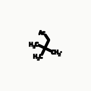 [CH2]C(C)(C)CC(C)=O